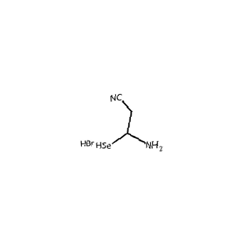 Br.N#CCC(N)[SeH]